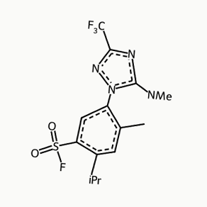 CNc1nc(C(F)(F)F)nn1-c1cc(S(=O)(=O)F)c(C(C)C)cc1C